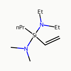 C=C[Si](CCC)(N(C)C)N(CC)CC